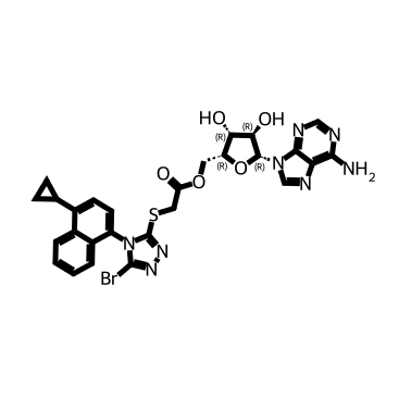 Nc1ncnc2c1ncn2[C@@H]1O[C@H](COC(=O)CSc2nnc(Br)n2-c2ccc(C3CC3)c3ccccc23)[C@H](O)[C@H]1O